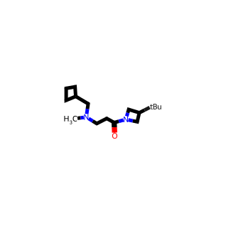 CN(CCC(=O)N1CC(C(C)(C)C)C1)CC1CCC1